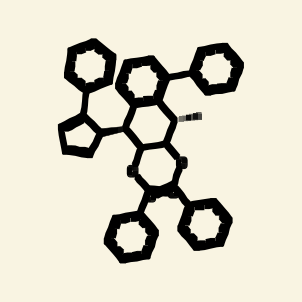 C[C@H]1c2c(-c3ccccc3)cccc2[C@H](C2C=CC=C2c2ccccc2)C(OC(=O)c2ccccc2)C1OC(=O)c1ccccc1